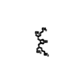 CCCCC(CC)CC1=C[SiH]=CC1CC(CC)CCCC